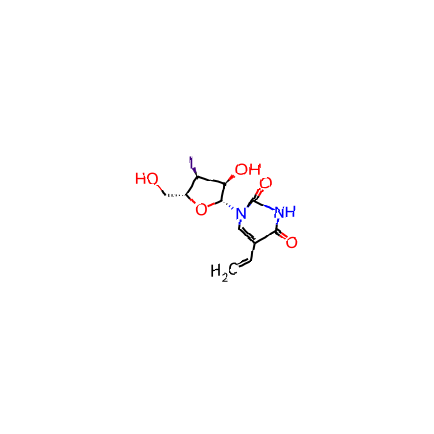 C=Cc1cn([C@@H]2O[C@H](CO)[C@@H](I)[C@H]2O)c(=O)[nH]c1=O